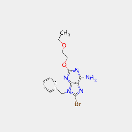 CCOCCOc1nc(N)c2nc(Br)n(Cc3ccccc3)c2n1